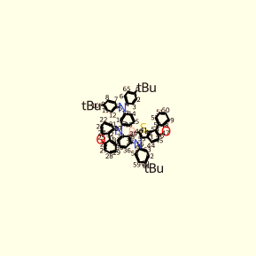 CC(C)(C)c1ccc(N(c2ccc(C(C)(C)C)cc2)c2ccc3c(c2)N(c2cccc4oc5ccccc5c24)c2cccc4c2B3c2sc3c(ccc5oc6ccccc6c53)c2N4c2ccc(C(C)(C)C)cc2)cc1